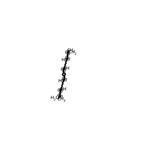 C=C(C)C(=O)OCCOC(=O)NCCCCCCNC(=O)OCC1CCC(COC(=O)NCCCCCCNC(=O)OCCOC(=O)C(=C)C)CC1